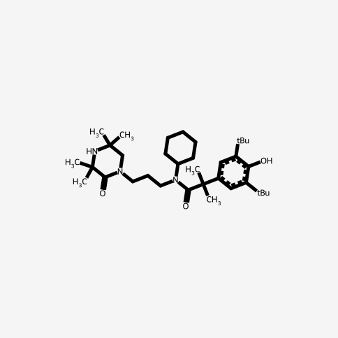 CC1(C)CN(CCCN(C(=O)C(C)(C)c2cc(C(C)(C)C)c(O)c(C(C)(C)C)c2)C2CCCCC2)C(=O)C(C)(C)N1